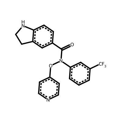 O=C(c1ccc2c(c1)CCN2)N(Oc1ccncc1)c1cccc(C(F)(F)F)c1